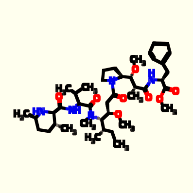 CC[C@H](C)[C@@H]([C@@H](CC(=O)N1CCC[C@H]1[C@H](OC)[C@@H](C)C(=O)N[C@@H](Cc1ccccc1)C(=O)OC)OC)N(C)C(=O)[C@@H](NC(=O)C1N[C@H](C)CC[C@H]1C)C(C)C